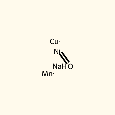 [Cu].[Mn].[NaH].[O]=[Ni]